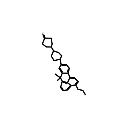 CCCc1ccc2c3c(cccc13)C(C)(C)c1cc(C3CCC(C4CCC(=O)CC4)CC3)ccc1-2